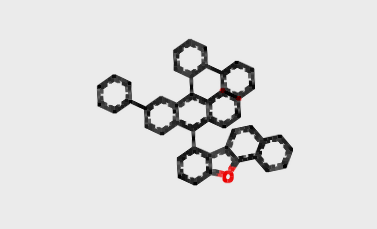 c1ccc(-c2ccc3c(-c4cccc5oc6c7ccccc7ccc6c45)c4ccccc4c(-c4ccccc4-c4ccccc4)c3c2)cc1